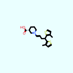 Cc1ccsc1C(C/C=C/N1CCC[C@@H](C(=O)O)C1)c1sccc1C